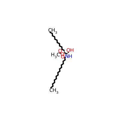 CCCCCCCCCCCCCCCCCC(=O)N[C@H](CO)[C@H](CCCCCCCCCCCCC)OC(C)=O